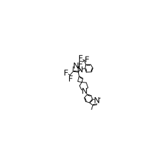 Cc1cn(C)c2cc(N3CCC4(C=C(c5c(C(F)F)cnn5-c5ccccc5C(F)(F)F)C4)CC3)ccc12